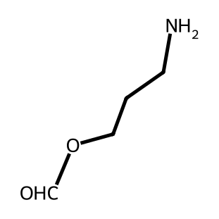 NCCCOC=O